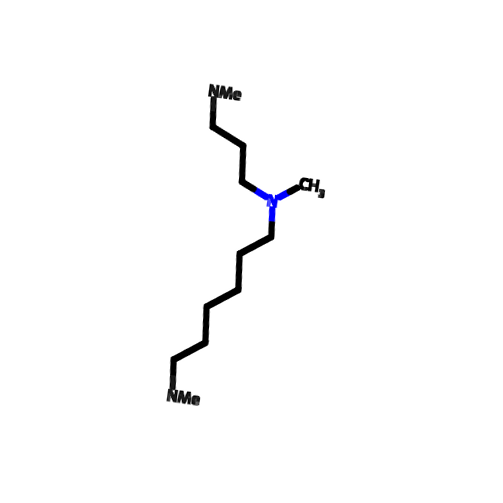 CNCCCCCCN(C)CCCNC